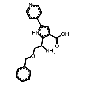 NC(COCc1ccccc1)c1[nH]c(-c2ccncc2)cc1C(=O)O